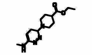 CCOC(=O)C1CCN(C2CC=C(NC)N=N2)CC1